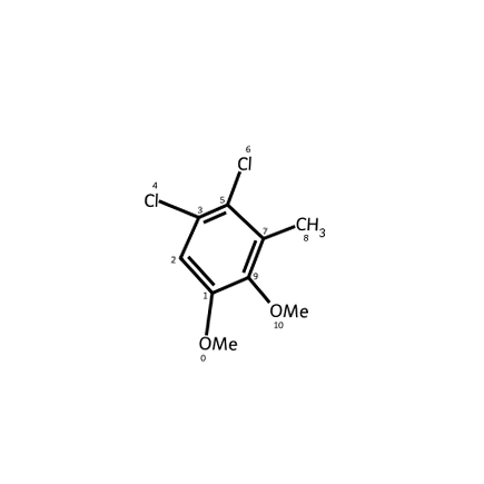 COc1cc(Cl)c(Cl)c(C)c1OC